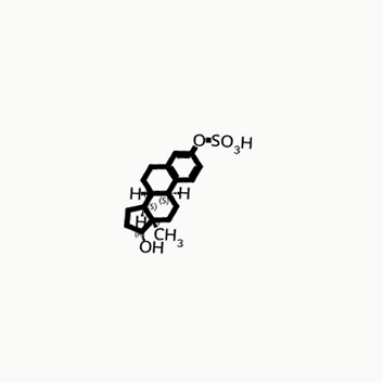 C[C@]12CC[C@@H]3c4ccc(OS(=O)(=O)O)cc4CC[C@H]3[C@@H]1CC[C@H]2O